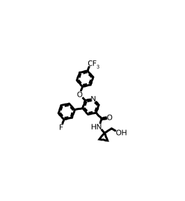 O=C(NC1(CO)CC1)c1cnc(Oc2ccc(C(F)(F)F)cc2)c(-c2cccc(F)c2)c1